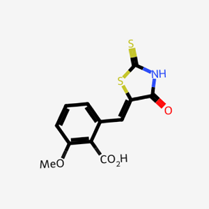 COc1cccc(/C=C2\SC(=S)NC2=O)c1C(=O)O